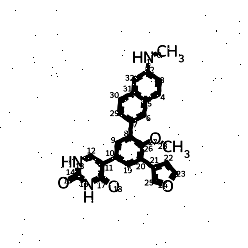 CNc1ccc2cc(-c3cc(-c4c[nH]c(=O)[nH]c4=O)cc(-c4ccoc4)c3OC)ccc2c1